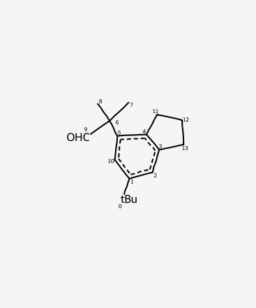 CC(C)(C)c1cc2c(c(C(C)(C)C=O)c1)CCC2